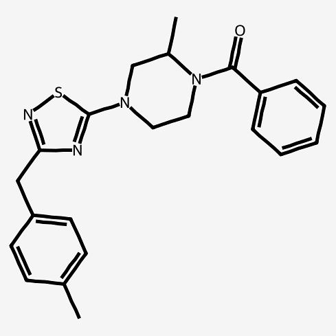 Cc1ccc(Cc2nsc(N3CCN(C(=O)c4ccccc4)C(C)C3)n2)cc1